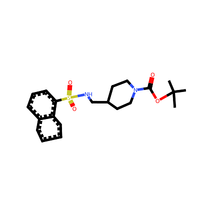 CC(C)(C)OC(=O)N1CCC(CNS(=O)(=O)c2cccc3ccccc23)CC1